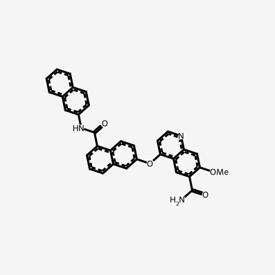 COc1cc2nccc(Oc3ccc4c(C(=O)Nc5ccc6ccccc6c5)cccc4c3)c2cc1C(N)=O